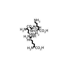 CSCC[C@H](N)C(=O)O.C[C@H](N)C(=O)O.N=C(N)NCCC[C@H](N)C(=O)O.NCCCC[C@H](N)C(=O)O